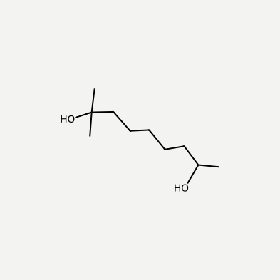 CC(O)CCCCCC(C)(C)O